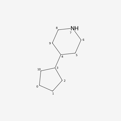 C1CCC(C2CCNCC2)C1